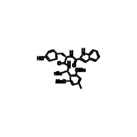 CCCCC(NC(=O)[C@@H](Cc1ccc(O)cc1)NC(=O)c1cc2ccccc2[nH]1)c1c(OC)cc(C)cc1OC